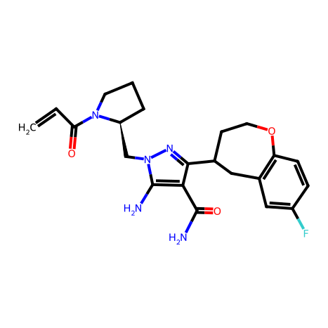 C=CC(=O)N1CCC[C@H]1Cn1nc(C2CCOc3ccc(F)cc3C2)c(C(N)=O)c1N